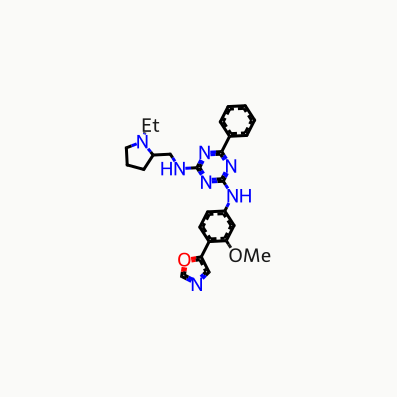 CCN1CCCC1CNc1nc(Nc2ccc(-c3cnco3)c(OC)c2)nc(-c2ccccc2)n1